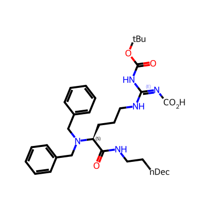 CCCCCCCCCCCCNC(=O)[C@H](CCCN/C(=N\C(=O)O)NC(=O)OC(C)(C)C)N(Cc1ccccc1)Cc1ccccc1